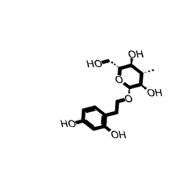 C[C@@H]1[C@@H](O)[C@H](OCCc2ccc(O)cc2O)O[C@H](CO)[C@H]1O